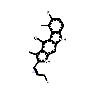 Cc1c(/C=C\CF)[nH]c2cc3[nH]c4ccc(F)c(C)c4c3c(Cl)c12